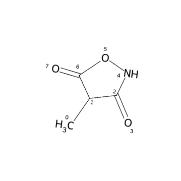 CC1C(=O)NOC1=O